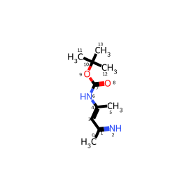 CC(=N)/C=C(\C)NC(=O)OC(C)(C)C